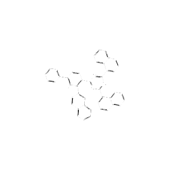 c1ccc(-c2ccc(-c3nc(-c4cccc5ccccc45)nc(-c4cccc5ccccc45)n3)c3c2oc2cc4ccccc4cc23)cc1